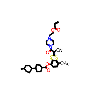 C=CC(=O)OCCN1CCN(C(=O)/C(C#N)=C2/Sc3c(OC(C)=O)ccc(OC(=O)C4CCC(C5CCC(C)CC5)CC4)c3S2)CC1